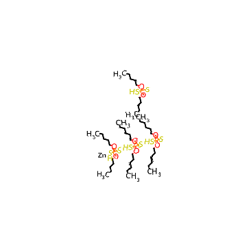 CCCCCCOP(=S)(S)OCCCCCC.CCCCCCOP(=S)(S)OCCCCCC.CCCCCOP(=S)(S)OCCCCC.CCCCCOP(=S)(S)OCCCCC.[Zn]